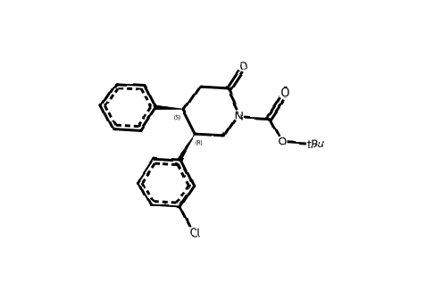 CC(C)(C)OC(=O)N1C[C@@H](c2cccc(Cl)c2)[C@@H](c2ccccc2)CC1=O